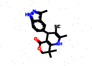 [C-]#[N+]C1=C(C)NC2=C(C(=O)OCC2(C)C)C1c1ccc2[nH]nc(C)c2c1